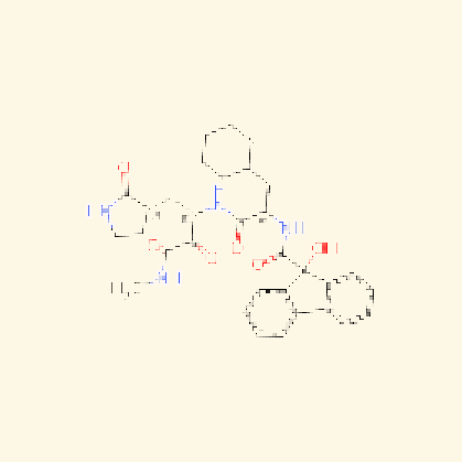 CNC(=O)C(=O)[C@H](C[C@@H]1CCNC1=O)NC(=O)[C@@H](CC1CCCCC1)NC(=O)C1(O)c2ccccc2-c2ccccc21